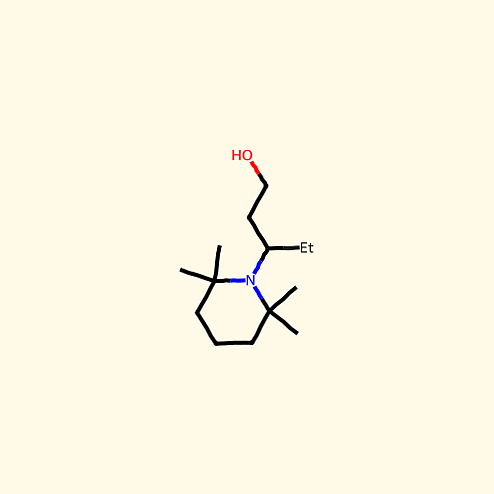 CCC(CCO)N1C(C)(C)CCCC1(C)C